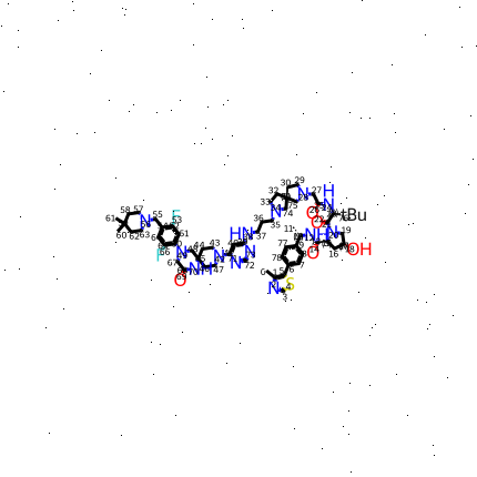 Cc1ncsc1-c1ccc([C@H](C)NC(=O)[C@@H]2C[C@@H](O)CN2C(=O)[C@@H](NC(=O)CN2CC[C@@]3(CCN(CCCNc4cc(N5CCC6(CC5)CN(c5cc(F)c(CN7CCC(C)(C)CC7)cc5F)CC(=O)N6)ncn4)C3)C2)C(C)(C)C)cc1